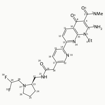 CCn1c(N)c(C(=O)NC)c(=O)c2ccc(-c3ccc(CC(=O)NC[C@H]4CCCN4CC(F)F)cn3)nc21